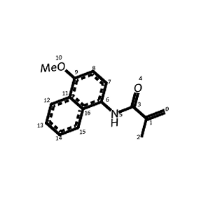 C=C(C)C(=O)Nc1ccc(OC)c2ccccc12